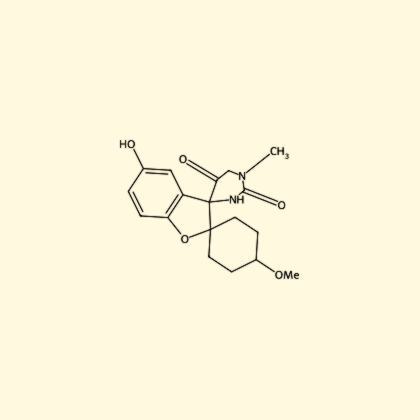 COC1CCC2(CC1)Oc1ccc(O)cc1C21NC(=O)N(C)CC1=O